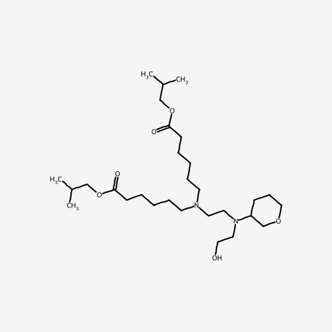 CC(C)COC(=O)CCCCCN(CCCCCC(=O)OCC(C)C)CCN(CCO)C1CCCOC1